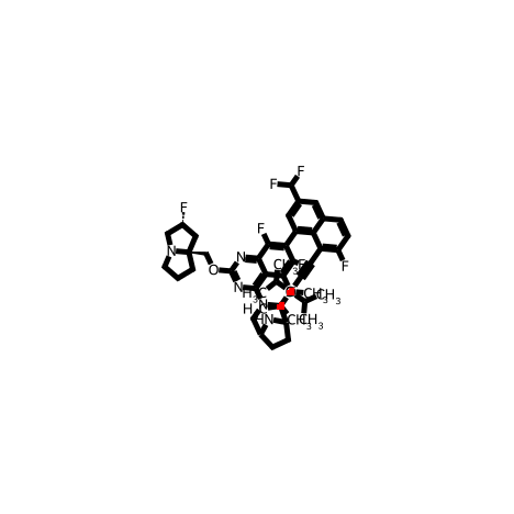 COc1c(F)c(-c2cc(C(F)F)cc3ccc(F)c(C#C[Si](C(C)C)(C(C)C)C(C)C)c23)c(F)c2nc(OC[C@@]34CCCN3C[C@H](F)C4)nc(N3CC4CCC(C3)N4)c12